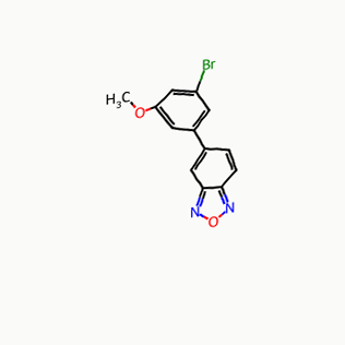 COc1cc(Br)cc(-c2ccc3nonc3c2)c1